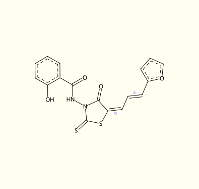 O=C(NN1C(=O)/C(=C\C=C\c2ccco2)SC1=S)c1ccccc1O